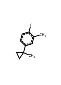 Cc1cc(C2(C)CC2)ccc1F